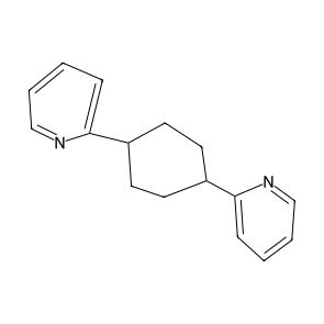 c1ccc(C2CCC(c3ccccn3)CC2)nc1